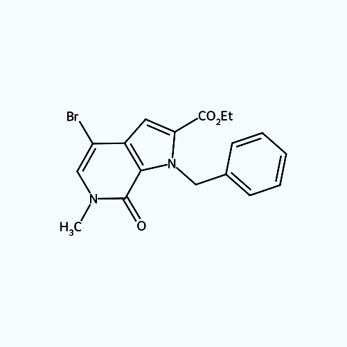 CCOC(=O)c1cc2c(Br)cn(C)c(=O)c2n1Cc1ccccc1